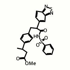 COC(=O)CC(C)c1ccc(CC(C(=O)NS(=O)(=O)c2ccccc2)c2ccc3nsnc3c2)cc1